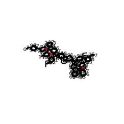 C=Cc1ccc(-c2ccc(C3(C4=CC(C)=CCC4C)c4ccccc4-c4ccc(N(c5ccc(F)cc5)c5ccc6c(c5)OC5C=C(N(C7=CCC(F)C=C7)C7=CC8=C(CC7)c7ccccc7C8(C7=CCC(c8ccc(C=C)cc8)C=C7)C7=CC(C)CC=C7C)C=CC65)cc43)cc2)cc1